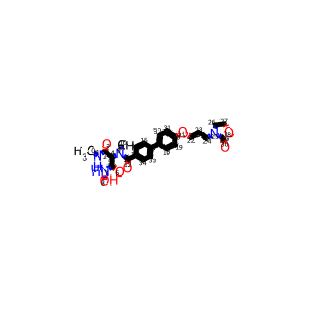 CNC(=O)C(C(=O)NO)N(C)C(=O)c1ccc(-c2ccc(OCCCN3CCOC3=O)cc2)cc1